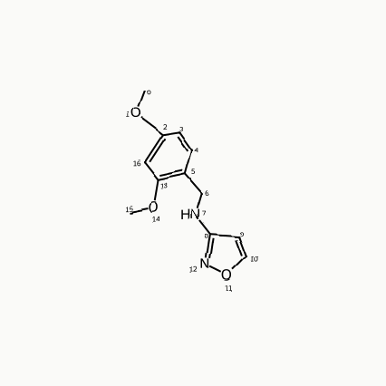 COc1ccc(CNc2ccon2)c(OC)c1